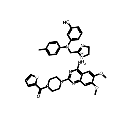 COc1cc2nc(N3CCN(C(=O)c4ccco4)CC3)nc(N)c2cc1OC.Cc1ccc(N(CC2=NCCN2)c2cccc(O)c2)cc1